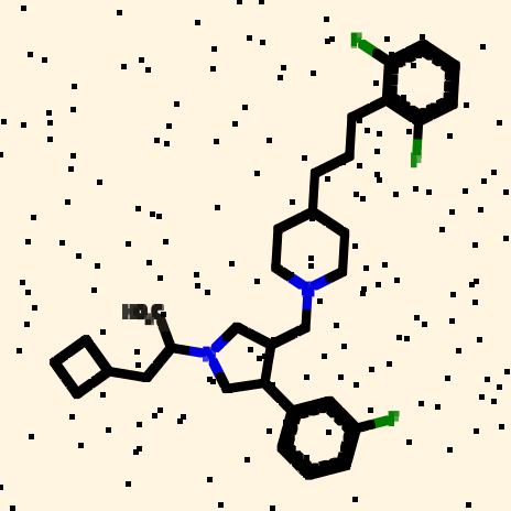 O=C(O)C(CC1CCC1)N1CC(CN2CCC(CCCc3c(F)cccc3F)CC2)C(c2cccc(F)c2)C1